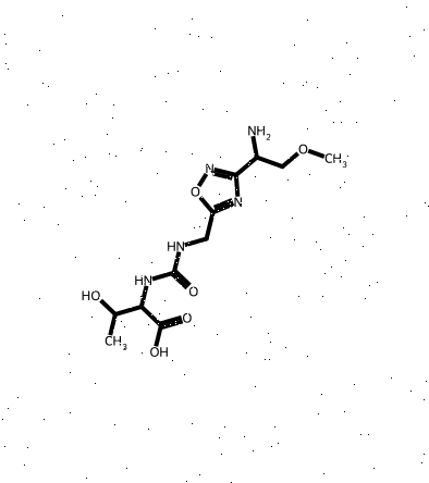 COCC(N)c1noc(CNC(=O)NC(C(=O)O)C(C)O)n1